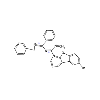 C=N/C(=N\C(=N/Cc1ccccc1)c1ccccc1)c1cccc2c1oc1ccc(Br)cc12